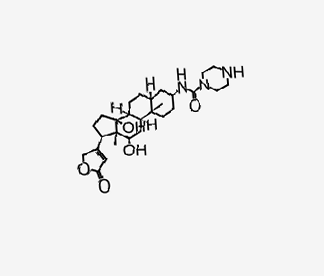 C[C@]12CC[C@H](NC(=O)N3CCNCC3)C[C@H]1CC[C@@H]1[C@@H]2C[C@@H](O)[C@]2(C)[C@@H](C3=CC(=O)OC3)CC[C@]12O